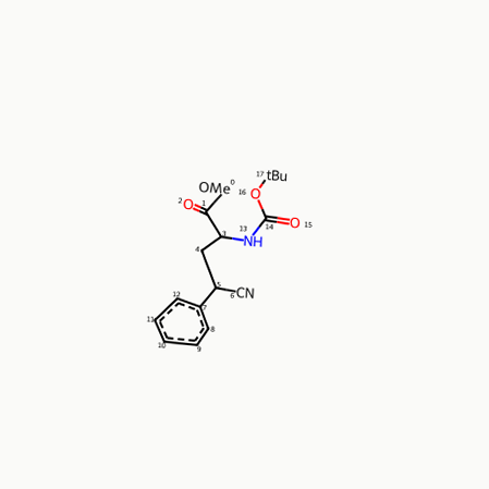 COC(=O)C(CC(C#N)c1ccccc1)NC(=O)OC(C)(C)C